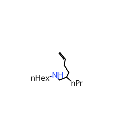 C=CCCC(CCC)CNCCCCCC